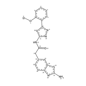 CCOc1ccccc1-c1nnc(NC(=O)Cc2ccc3nc(N)sc3c2)o1